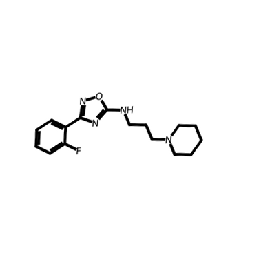 Fc1ccccc1-c1noc(NCCCN2CCCCC2)n1